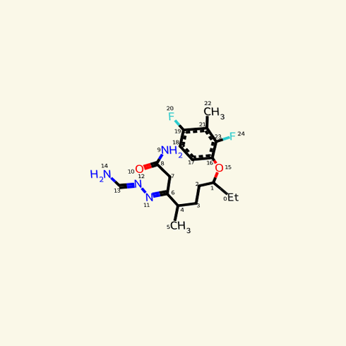 CCC(CCC(C)/C(CC(N)=O)=N/N=C/N)Oc1ccc(F)c(C)c1F